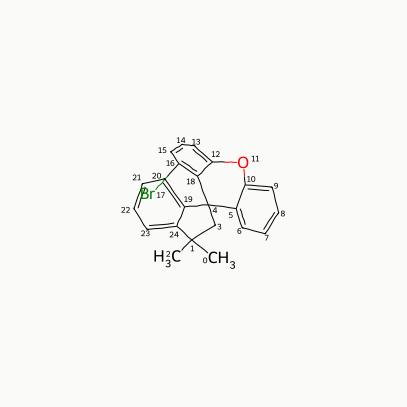 CC1(C)CC2(c3ccccc3Oc3cccc(Br)c32)c2ccccc21